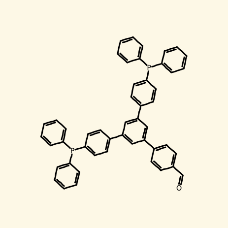 O=Cc1ccc(-c2cc(-c3ccc(P(c4ccccc4)c4ccccc4)cc3)cc(-c3ccc(P(c4ccccc4)c4ccccc4)cc3)c2)cc1